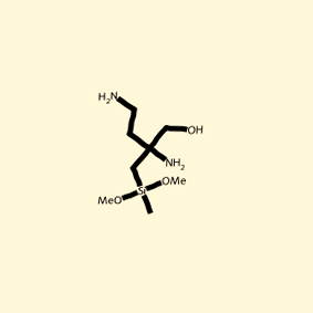 CO[Si](C)(CC(N)(CO)CCN)OC